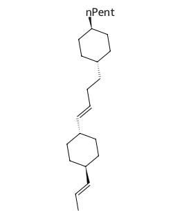 CC=C[C@H]1CC[C@H](C=CCC[C@H]2CC[C@H](CCCCC)CC2)CC1